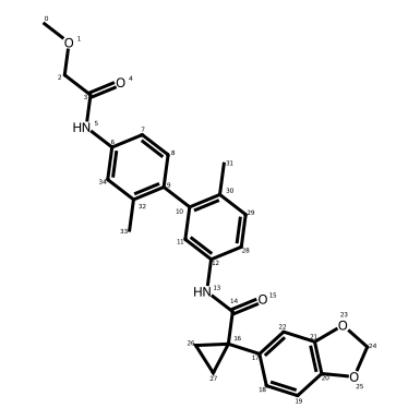 COCC(=O)Nc1ccc(-c2cc(NC(=O)C3(c4ccc5c(c4)OCO5)CC3)ccc2C)c(C)c1